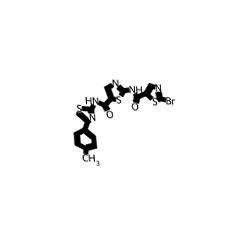 Cc1ccc(-c2csc(NC(=O)c3cnc(NC(=O)c4cnc(Br)s4)s3)n2)cc1